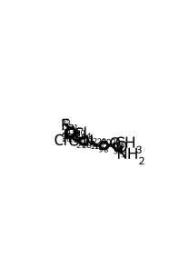 COC(CC(N)=O)C1CCC(CCN2CCC(Oc3c(Cl)cc(F)cc3Cl)CC2)CC1